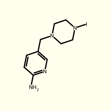 Nc1ccc(CN2CCN(I)CC2)cn1